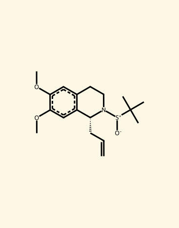 C=CC[C@@H]1c2cc(OC)c(OC)cc2CCN1[S+]([O-])C(C)(C)C